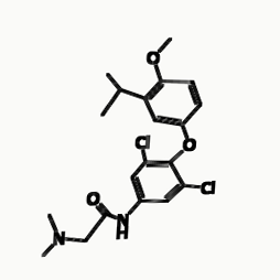 COc1ccc(Oc2c(Cl)cc(NC(=O)CN(C)C)cc2Cl)cc1C(C)C